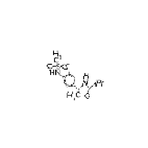 CC(C)C(=O)NC(C)c1ccc(NS(C)(=O)=O)c(F)c1